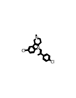 CC(=Cn1c2c(c3cc(Cl)ccc31)CN(C)CC2)c1ccc(Cl)cc1